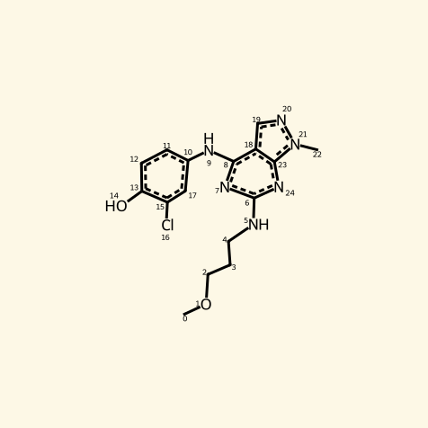 COCCCNc1nc(Nc2ccc(O)c(Cl)c2)c2cnn(C)c2n1